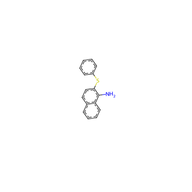 Nc1c(Sc2ccccc2)ccc2ccccc12